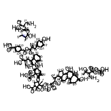 C/C=C(\C)C(=O)O.CC1(C(=O)O)CCC(C(=O)O)C1(C)C.CC1(C)C2CCC1(CS(=O)(=O)O)C(=O)C2.C[C@@H](O)[C@H](N)C(=O)O.C[C@H](CCC(=O)O)[C@H]1CCC2C3C(C[C@H](O)[C@@]21C)[C@@]1(C)CC[C@@H](O)C[C@H]1C[C@H]3O.N#CS.NCCC(=O)O.N[C@@H](Cc1c[nH]c2ccccc12)C(=O)O.N[C@@H](Cc1ccc(O)cc1)C(=O)OC(=O)c1ccc(C(=O)O)cc1.O=C(O)O